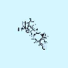 CC(=O)N1Cc2cc(-c3ccccc3C(=O)NC(C)C)ccc2C=Cc2cc(Cl)ccc21